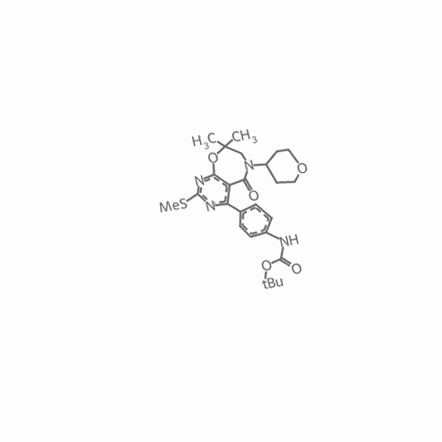 CSc1nc2c(c(-c3ccc(NC(=O)OC(C)(C)C)cc3)n1)C(=O)N(C1CCOCC1)CC(C)(C)O2